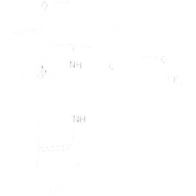 O=C(NC1(c2ccc(OC(F)(F)F)cc2)CCOc2cccnc21)C1Cc2ccccc2N1